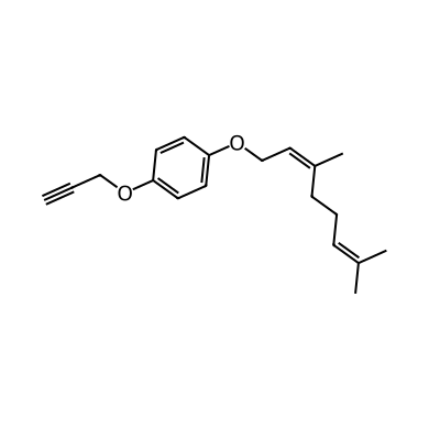 C#CCOc1ccc(OCC=C(C)CCC=C(C)C)cc1